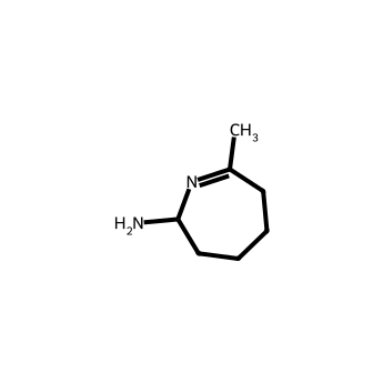 CC1=NC(N)CCCC1